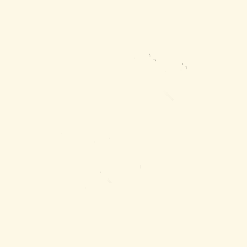 CCOS(=O)(=O)c1ccc(C)cc1OCCOc1cccnc1[N+](=O)[O-]